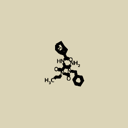 CCCn1c(=O)c(NC(=O)C23CC4CC(CC2C4)C3)c(N)n(Cc2ccccc2)c1=O